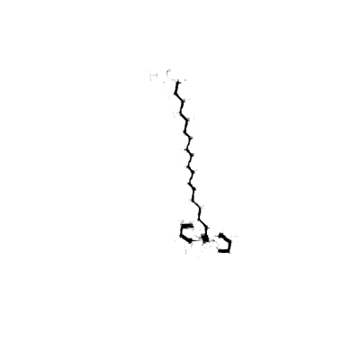 [CH2]C(CCCCCCCCCCCCCCCCCC)([SH]1C=CC=C1)[SH]1C=CC=C1